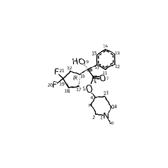 CN1CCC(OC(=O)[C@](O)(c2ccccc2)[C@@H]2CCC(F)(F)C2)CC1